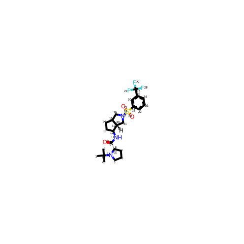 CC(C)(C)N1CCC[C@H]1C(=O)NC1CCC2CN(S(=O)(=O)c3cccc(C(F)(F)F)c3)C[C@@H]21